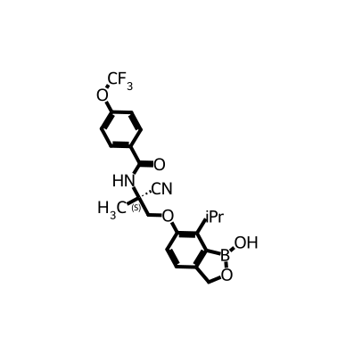 CC(C)c1c(OC[C@](C)(C#N)NC(=O)c2ccc(OC(F)(F)F)cc2)ccc2c1B(O)OC2